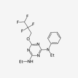 CCNc1nc(OCC(F)(F)C(F)F)nc(N(CC)c2ccccc2)n1